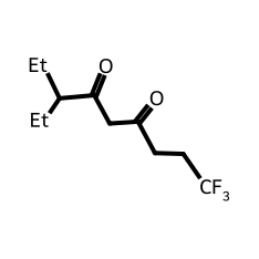 CCC(CC)C(=O)CC(=O)CCC(F)(F)F